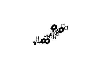 CC(C)NCc1ccc2c(c1)CCC[C@H]2NC(=O)C[C@@H](NS(=O)(=O)c1ccc(Cl)c(Cl)c1)c1ccccc1